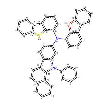 c1ccc(-n2c3cc(N(c4cccc5c4oc4ccccc45)c4cccc5c4sc4ccccc45)ccc3c3ccc4ccccc4c32)cc1